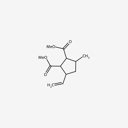 C=CC1CC(C)C(C(=O)OC)C1C(=O)OC